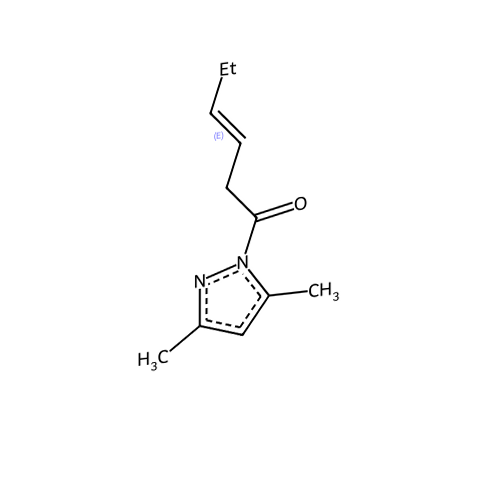 CC/C=C/CC(=O)n1nc(C)cc1C